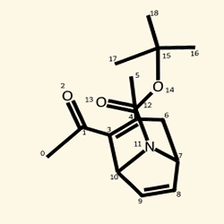 CC(=O)C1=C(C)CC2C=CC1N2C(=O)OC(C)(C)C